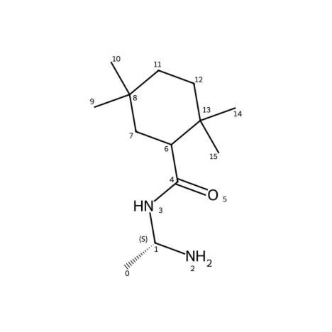 C[C@@H](N)NC(=O)C1CC(C)(C)CCC1(C)C